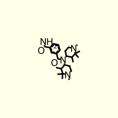 CC1C(N(C(=O)c2cccc(C(N)=O)c2)C2CCN(C)C(C)(C)C2C)CCN(C)C1(C)C